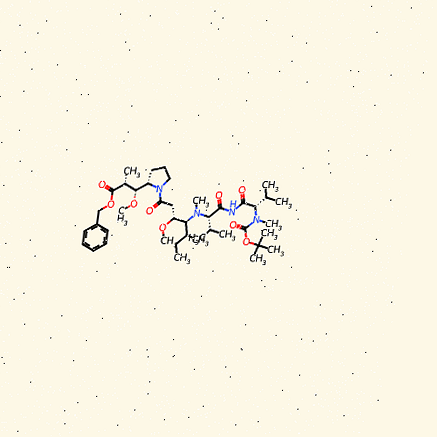 CC[C@H](C)[C@@H]([C@@H](CC(=O)N1CCC[C@H]1[C@H](OC)[C@@H](C)C(=O)OCc1ccccc1)OC)N(C)[C@H](C(=O)NC(=O)[C@H](C(C)C)N(C)C(=O)OC(C)(C)C)C(C)C